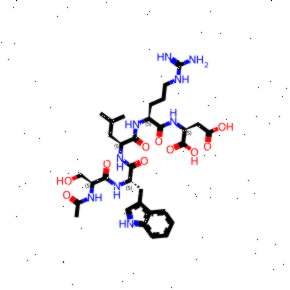 CC(=O)N[C@@H](CO)C(=O)N[C@@H](Cc1c[nH]c2ccccc12)C(=O)N[C@@H](CC(C)C)C(=O)N[C@@H](CCCNC(=N)N)C(=O)N[C@@H](CC(=O)O)C(=O)O